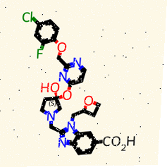 O=C(O)c1ccc2nc(CN3CC[C@](O)(Oc4ccnc(COc5ccc(Cl)cc5F)n4)C3)n(CC3CCO3)c2c1